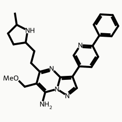 COCc1c(CCC2CCC(C)N2)nc2c(-c3ccc(-c4ccccc4)nc3)cnn2c1N